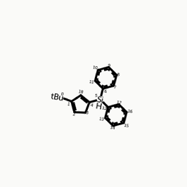 CC(C)(C)C1=CCC([SiH](c2ccccc2)c2ccccc2)=C1